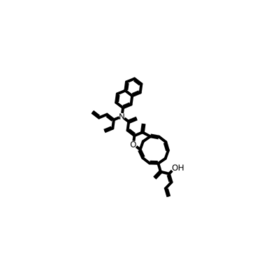 C=C/C=C(/O)C(=C)/C1=C/C=C2\C/C(=C\C=C/C1)C(=C)/C(=C\C(=C)N(/C(C=C)=C/C=C)c1ccc3ccccc3c1)O2